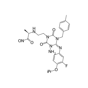 Cc1ccc(Cn2c(=O)n(CCN[C@H](C)C(=O)N=O)c(=O)n(N)/c2=N\c2ccc(OC(C)C)c(F)c2)cc1